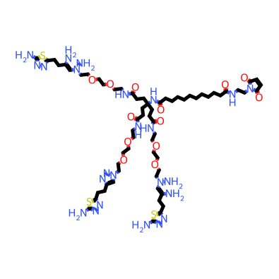 N/C(=C\N(N)CCOCCOCCNC(=O)CCC(CCC(=O)NCCOCCOCCN(N)/C=C(\N)CCc1nnc(N)s1)(CCC(=O)NCCOCCOCCn1cc(CCc2nnc(N)s2)nn1)NC(=O)CCCCCCCCCCC(=O)NCCN1C(=O)C=CC1=O)CCc1nnc(N)s1